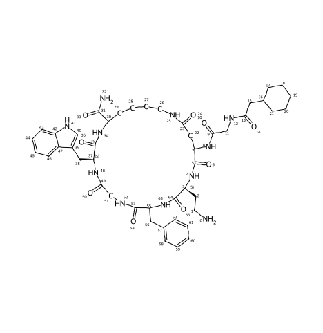 NCC[C@@H]1NC(=O)C(NC(=O)CNC(=O)CC2CCCCC2)CC(=O)NCCCCC(C(N)=O)NC(=O)[C@H](Cc2c[nH]c3ccccc23)NC(=O)CNC(=O)C(Cc2ccccc2)NC1=O